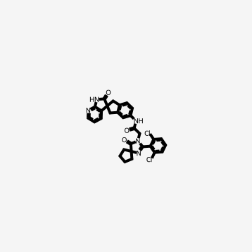 O=C(CN1C(=O)C2(CCCC2)N=C1c1c(Cl)cccc1Cl)Nc1ccc2c(c1)CC1(C2)C(=O)Nc2ncccc21